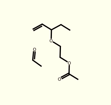 C=CC(CC)OCCOC(C)=O.CC=O